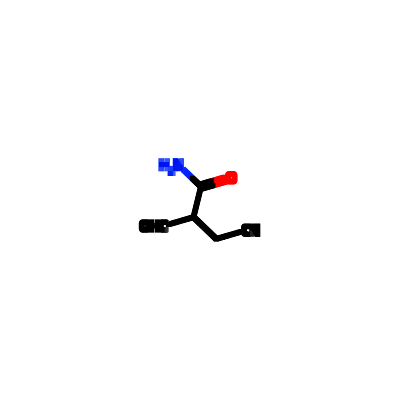 N#CCC(C=O)C(N)=O